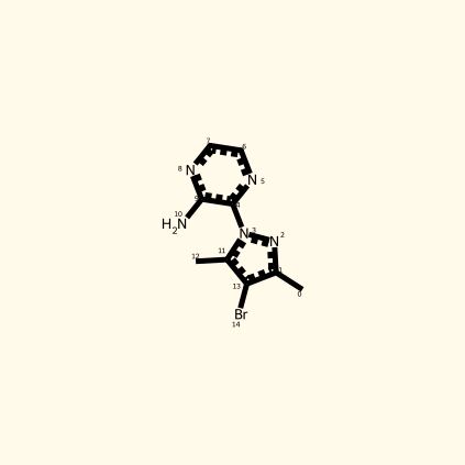 Cc1nn(-c2nccnc2N)c(C)c1Br